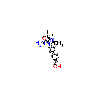 Cc1nc(C)c(-c2ccc([C@H]3CC[C@@H](CCO)CC3)cc2)nc1C(N)=O